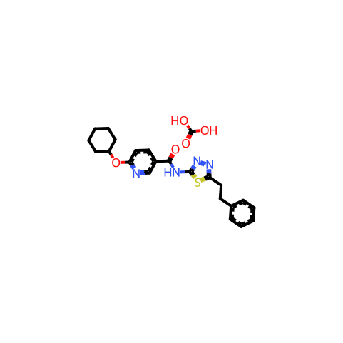 O=C(Nc1nnc(CCc2ccccc2)s1)c1ccc(OC2CCCCC2)nc1.O=C(O)O